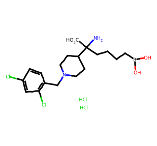 Cl.Cl.NC(CCCCB(O)O)(C(=O)O)C1CCN(Cc2ccc(Cl)cc2Cl)CC1